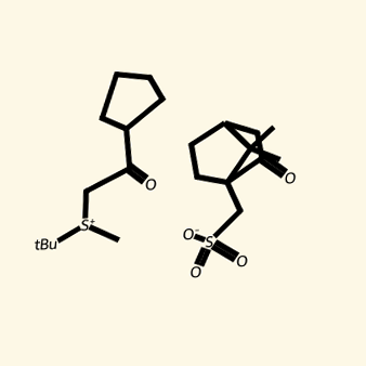 CC1(C)C2CCC1(CS(=O)(=O)[O-])C(=O)C2.C[S+](CC(=O)C1CCCC1)C(C)(C)C